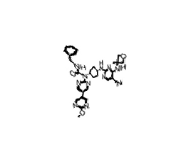 COc1ncc(-c2cnc(N(C(=O)NCc3ccccc3)[C@H]3CC[C@H](Nc4ncc(C#N)c(NC5(C)COC5)n4)CC3)nc2)cn1